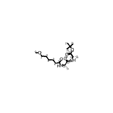 COCCCCCC(=O)N[C@@H](C)C(=O)N[C@@H](C)C(=O)OC(C)(C)C